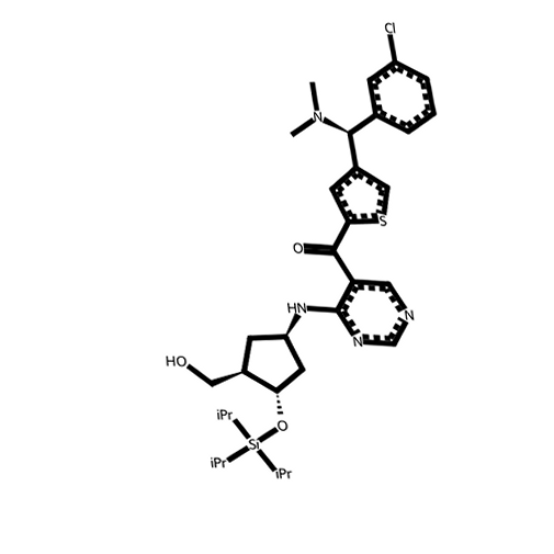 CC(C)[Si](O[C@H]1C[C@H](Nc2ncncc2C(=O)c2cc([C@H](c3cccc(Cl)c3)N(C)C)cs2)C[C@@H]1CO)(C(C)C)C(C)C